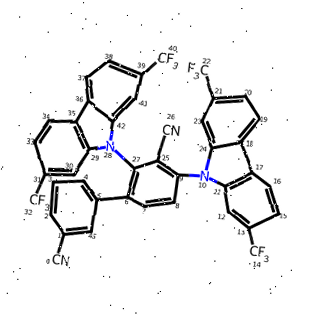 N#Cc1cccc(-c2ccc(-n3c4cc(C(F)(F)F)ccc4c4ccc(C(F)(F)F)cc43)c(C#N)c2-n2c3cc(C(F)(F)F)ccc3c3ccc(C(F)(F)F)cc32)c1